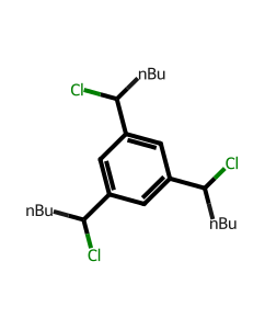 CCCCC(Cl)c1cc(C(Cl)CCCC)cc(C(Cl)CCCC)c1